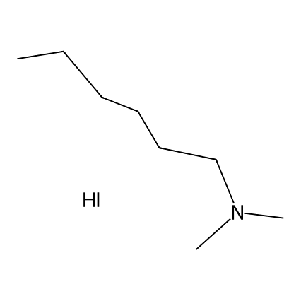 CCCCCCN(C)C.I